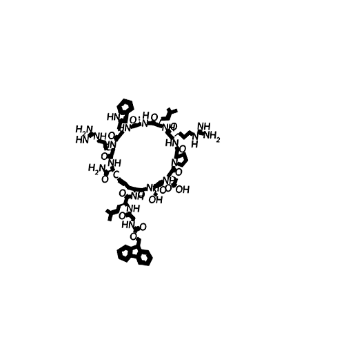 CC(C)=CC[C@H](NC(=O)CNC(=O)OCC1c2ccccc2-c2ccccc21)C(=O)N[C@H]1CC=CC[C@@H](C(N)=O)NC(=O)[C@H](CCCNC(=N)N)NC(=O)[C@H](Cc2cc3ccccc3[nH]2)NC(=O)[C@H](C)NC(=O)[C@H](CC=C(C)C)NC(=O)[C@H](CCCNC(=N)N)NC(=O)C2CCCN2C(=O)[C@H](CC(=O)O)NC(=O)[C@H](CO)NC1=O